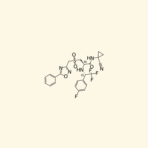 N#CC1(NC(=O)[C@H](CS(=O)(=O)Cc2noc(-c3ccccc3)n2)N[C@@H](c2ccc(F)cc2)C(F)(F)F)CC1